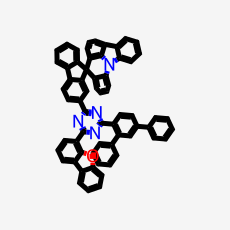 c1ccc(-c2ccc(-c3nc(-c4ccc5c(c4)C4(c6ccccc6-5)c5ccccc5-n5c6ccccc6c6cccc4c65)nc(-c4cccc5c4oc4ccccc45)n3)c(-c3ccccc3)c2)cc1